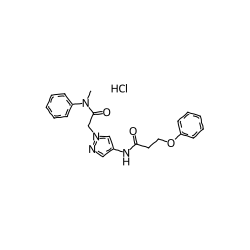 CN(C(=O)Cn1cc(NC(=O)CCOc2ccccc2)cn1)c1ccccc1.Cl